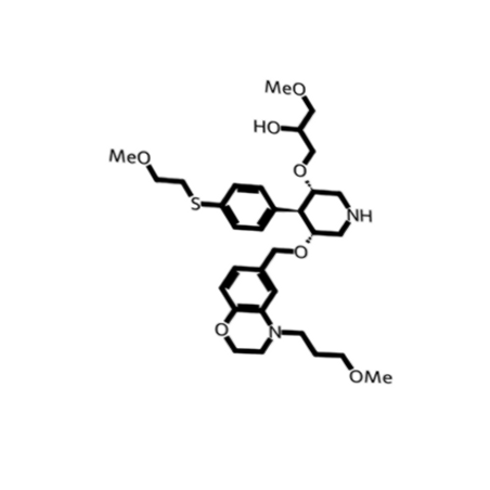 COCCCN1CCOc2ccc(CO[C@H]3CNC[C@@H](OCC(O)COC)[C@@H]3c3ccc(SCCOC)cc3)cc21